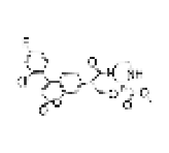 COC(=O)[C@@H]1CN(C(=O)C(C=O)c2ccc3c(-c4ccc(F)cc4Cl)cc(=O)oc3c2)CCN1